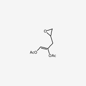 CC(=O)OC=C(CC1CO1)OC(C)=O